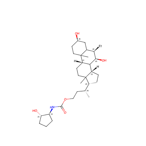 CC[C@@H]1C2C[C@H](O)CCC2(C)[C@H]2CCC3(C)[C@@H]([C@H](C)CCOC(=O)N[C@H]4CCC[C@@H]4O)CC[C@H]3C2[C@@H]1O